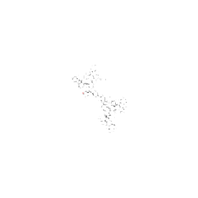 Cc1cc2c3c(c1)N1c4c(cc(C(C)(C)C)cc4C4(C)CCCCC14C)B3c1ccc(N(c3ccccc3)c3ccc(-c4ccc5sc6c(N7c8cc(N9c%10cc%11c(cc%10C%10(C)CCCCC9%10C)C(C)(C)CCC%11(C)C)ccc8B8c9cccc%10c9N(c9cc(C)cc7c98)C7(C)CCCCC%107C)cccc6c5c4)cc3)cc1N2c1cccc2c1oc1ccccc12